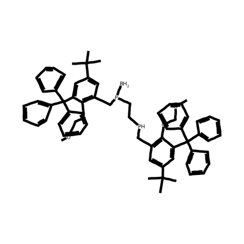 BP(CCPCc1cc(C(C)(C)C)cc(C(c2ccccc2)(c2ccccc2)c2ccccc2)c1OCOC)Cc1cc(C(C)(C)C)cc(C(c2ccccc2)(c2ccccc2)c2ccccc2)c1OCOC